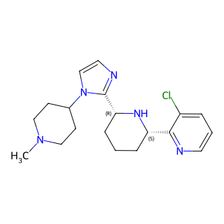 CN1CCC(n2ccnc2[C@H]2CCC[C@@H](c3ncccc3Cl)N2)CC1